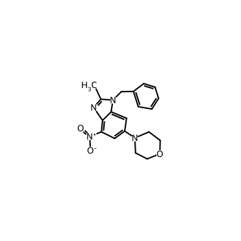 Cc1nc2c([N+](=O)[O-])cc(N3CCOCC3)cc2n1Cc1ccccc1